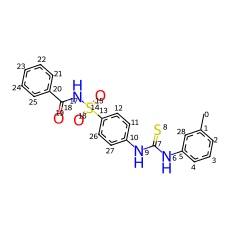 Cc1cccc(NC(=S)Nc2ccc(S(=O)(=O)NC(=O)c3ccccc3)cc2)c1